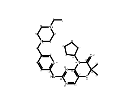 CCN1CCN(Cc2ccc(Nc3ncc4c(n3)N(C3CCCC3)C(=O)C(C)(C)O4)nc2)CC1